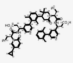 Cc1cccc(C)c1-c1cncc([C@H](CC(=O)O)NC(=O)[C@H](CC(C)C)N2CC(C)(C)C(c3ccc(C)c(-c4cncc([C@H](CC(=O)O)NC(=O)[C@H](CC(C)C)n5cc(C6CC6)ccc5=O)c4)c3C)CC2=O)c1